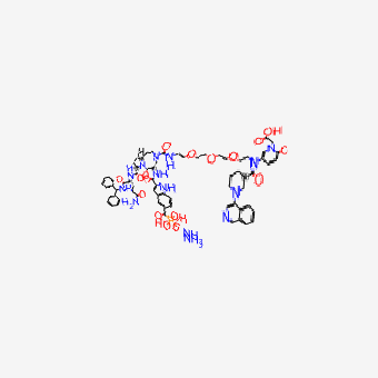 N.N.NC(=O)CC[C@@H](NC(=O)[C@H]1CC[C@H]2CCN(C(=O)NCCOCCOCCOCCN(C(=O)[C@@H]3CCCN(c4cncc5ccccc45)C3)c3ccc(=O)n(CC(=O)O)c3)C[C@@H](NC(=O)c3cc4cc(C(=O)P(=O)(O)O)ccc4[nH]3)C(=O)N21)C(=O)NC(c1ccccc1)c1ccccc1